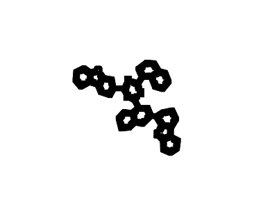 c1ccc2c(-c3nc(-c4ccc5c(c4)oc4ccccc45)nc(-c4cc(-c5cccc6c5sc5ccccc56)cc5ccccc45)n3)cccc2c1